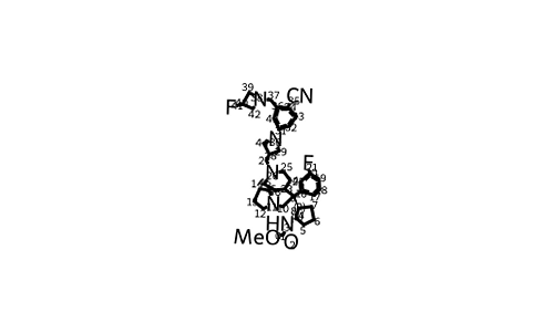 COC(=O)N[C@H]1CCC[C@@H]1C(CN1CCCC1)(c1cccc(F)c1)C1CCN(CC2CN(c3ccc(C#N)c(CN4CC(F)C4)c3)C2)CC1